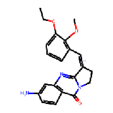 CCOc1cccc(/C=C2/CCn3c2nc2cc(N)ccc2c3=O)c1OC